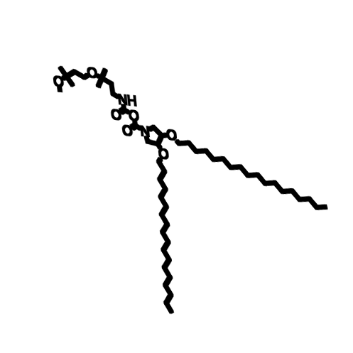 CCCCCCCCCCCCCCCCCCOC1CN(C(=O)OC(=O)NCCC(C)(C)OCCC(C)(C)OC)CC1OCCCCCCCCCCCCCCCCCC